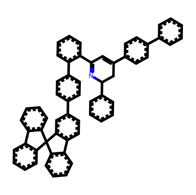 C1=C(c2ccc(-c3ccccc3)cc2)CC(c2ccccc2)N=C1c1ccccc1-c1ccc(-c2ccc3c(c2)C2(c4ccccc4-c4ccccc42)c2ccccc2-3)cc1